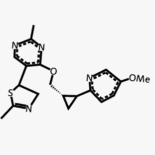 COc1ccc(C2C[C@@H]2COc2nc(C)ncc2C2CN=C(C)S2)nc1